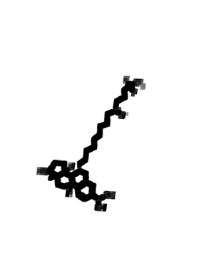 C[C@]12CC[C@@H]3c4ccc(B(O)O)cc4C[C@@H](CCCCCCCCC[S+]([O-])CCCC(F)(F)C(F)(F)F)C3[C@@H]1CC[C@@H]2O